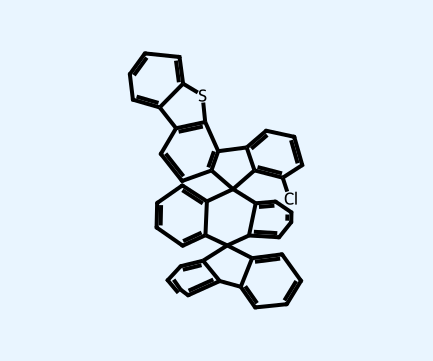 Clc1cccc2c1C1(c3ccccc3C3(c4ccccc4-c4ccccc43)c3ccccc31)c1ccc3c(sc4ccccc43)c1-2